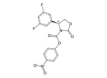 O=C1OC[C@H](c2cc(F)cc(F)c2)N1C(=O)Oc1ccc([N+](=O)[O-])cc1